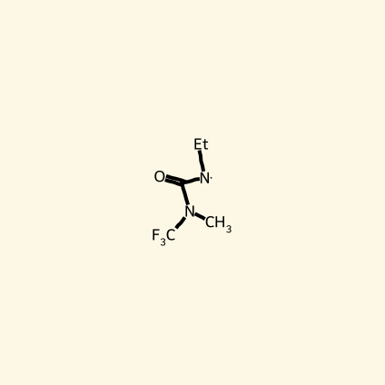 CC[N]C(=O)N(C)C(F)(F)F